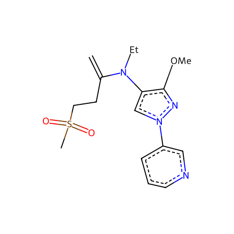 C=C(CCS(C)(=O)=O)N(CC)c1cn(-c2cccnc2)nc1OC